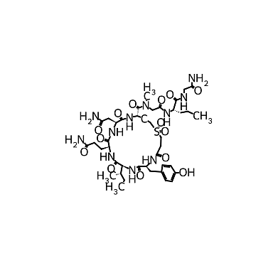 CCC[C@H](NC(=O)CN(C)C(=O)[C@@H]1CCS(=O)(=O)CCC(=O)N[C@@H](Cc2ccc(O)cc2)C(=O)N[C@@H]([C@@H](C)CC)C(=O)N[C@@H](CCC(N)=O)C(=O)N[C@@H](CC(N)=O)C(=O)N1)C(=O)NCC(N)=O